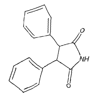 O=C1NC(=O)C(c2ccccc2)C1c1ccccc1